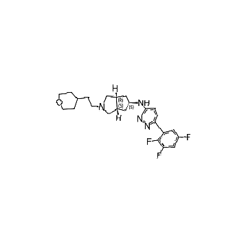 Fc1cc(F)c(F)c(-c2ccc(N[C@H]3C[C@@H]4CN(CCC5CCOCC5)C[C@@H]4C3)nn2)c1